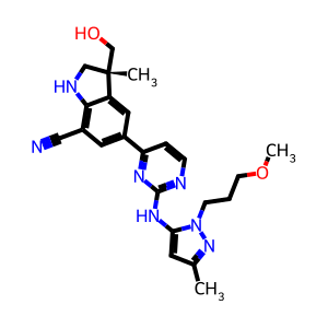 COCCCn1nc(C)cc1Nc1nccc(-c2cc(C#N)c3c(c2)[C@@](C)(CO)CN3)n1